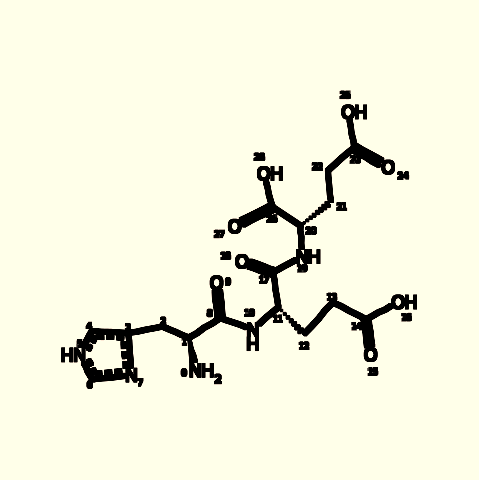 N[C@@H](Cc1c[nH]cn1)C(=O)N[C@@H](CCC(=O)O)C(=O)N[C@@H](CCC(=O)O)C(=O)O